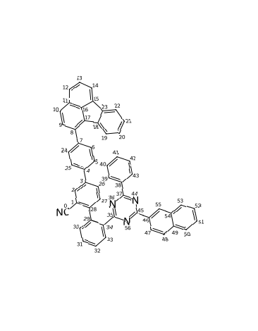 N#Cc1cc(-c2ccc(-c3ccc4cccc5c4c3-c3ccccc3-5)cc2)ccc1-c1ccccc1-c1nc(-c2ccccc2)nc(-c2ccc3ccccc3c2)n1